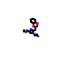 Cc1cn(C)c(CC2COc3ccccc3O2)n1